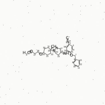 [C-]#[N+]c1ccc(OCc2ccccc2)c(NC2CCN([C@]3(C)CC[C@@H](OCCOC)CC3)CC2)c1